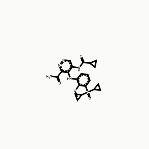 COc1c(Nc2c(NC(=O)C3CC3)cnnc2C(N)=O)cccc1P(=O)(C1CC1)C1CC1